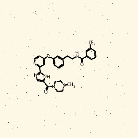 CN1CCN(C(=O)c2cnc(-c3cc(Oc4cccc(CCNC(=O)c5cccc(C(F)(F)F)c5)c4)ccn3)[nH]2)CC1